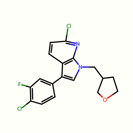 Fc1cc(-c2cn(CC3CCOC3)c3nc(Cl)ccc23)ccc1Cl